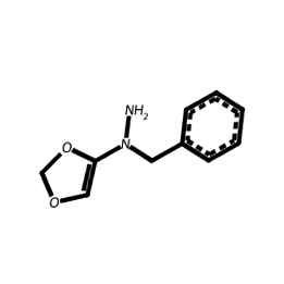 NN(Cc1ccccc1)C1=COCO1